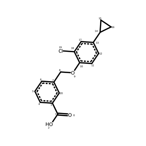 O=C(O)c1cccc(COc2ccc(C3CC3)cc2Cl)c1